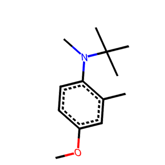 COc1ccc(N(C)C(C)(C)C)c(C)c1